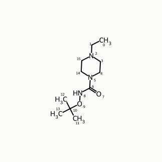 CCN1CCN(C(=O)NOC(C)(C)C)CC1